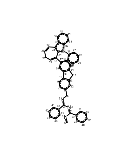 C=N/C(=N\C(=N/Cc1ccc2c(c1)Cc1ccc(C3=CCC=Cc4c3n(-c3ccccc3)c3ccccc43)cc1-2)c1ccccc1)c1ccccc1